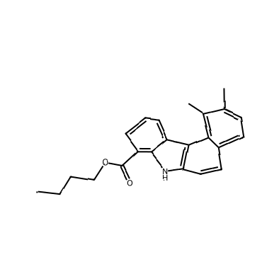 CCCCOC(=O)c1cccc2c1[nH]c1ccc3ccc(C)c(C)c3c12